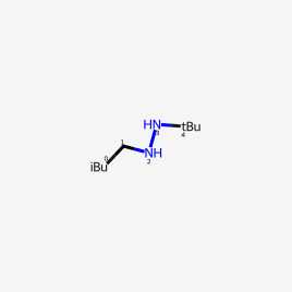 CCC(C)CNNC(C)(C)C